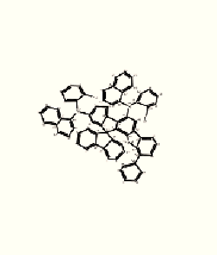 Fc1ccccc1N(c1ccc2c(c1)C1(c3ccccc3-c3ccccc31)c1c-2c(N(c2ccccc2F)c2cccc3ccccc23)cc2c1sc1c(-c3ccccc3)cccc12)c1cccc2ccccc12